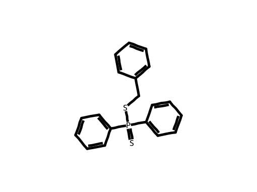 S=P(SCc1ccccc1)(c1ccccc1)c1ccccc1